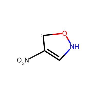 O=[N+]([O-])C1=CNO[C]1